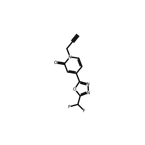 C#CCn1ccc(-c2nnc(C(F)F)o2)cc1=O